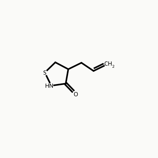 C=CCC1CSNC1=O